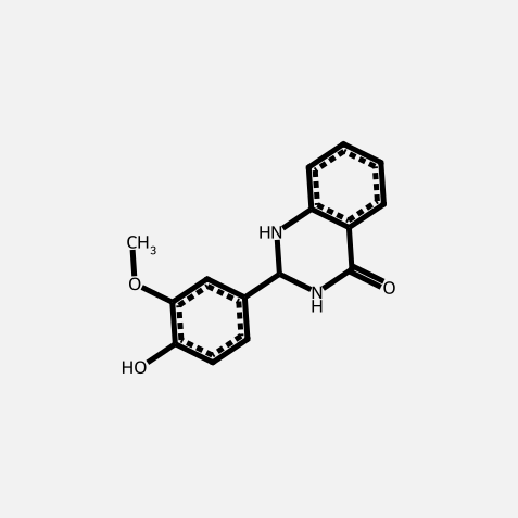 COc1cc(C2NC(=O)c3ccccc3N2)ccc1O